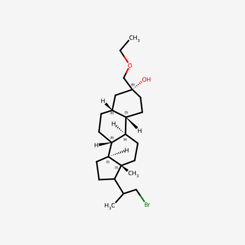 CCOC[C@@]1(O)CC[C@H]2[C@H](CC[C@@H]3[C@@H]2CC[C@]2(C)C(C(C)CBr)CC[C@@H]32)C1